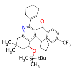 CC1(C)Cc2nc(C3=CCCCC3)c(C(=O)c3ccc(C(F)(F)F)cc3)c(C3CCCC3)c2[C@@H](O[Si](C)(C)C(C)(C)C)C1